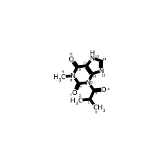 CC(C)C(=O)n1c(=O)n(C)c(=O)c2[nH]cnc21